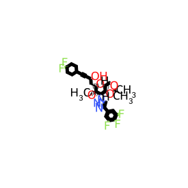 CO[C@@H]1C(n2cc(-c3cc(F)c(F)c(F)c3)nn2)[C@H]2OC(C)(C)OC[C@H]2O[C@@H]1CC(O)C#CC1CCC(F)(F)CC1